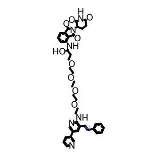 O=C1CCC(N2C(=O)c3cccc(NC(O)CCOCCOCCOCCOCCNc4ncc(-c5cccnc5)cc4/C=C/c4ccccc4)c3C2=O)C(=O)N1